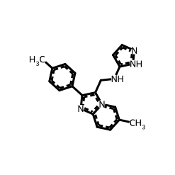 Cc1ccc(-c2nc3ccc(C)cn3c2CNc2ccn[nH]2)cc1